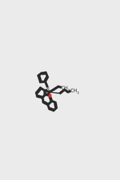 CCCC[C@]1(CC)CS(c2ccccc2)=C2C=CC=C3C=c4ccccc4=CC32CN1